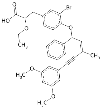 CCOC(Cc1ccc(OC(C=C(C)C#Cc2cc(OC)cc(OC)c2)c2ccccc2)c(Br)c1)C(=O)O